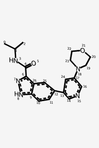 CC(C)NC(=O)c1n[nH]c2ccc(-c3cncc(N4CCOCC4)c3)cc12